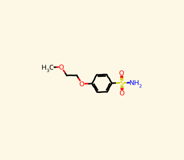 COCCOc1ccc(S(N)(=O)=O)cc1